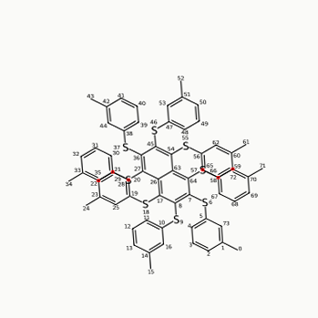 Cc1cccc(Sc2c(Sc3cccc(C)c3)c(Sc3cccc(C)c3)c3c(Sc4cccc(C)c4)c(Sc4cccc(C)c4)c(Sc4cccc(C)c4)c(Sc4cccc(C)c4)c3c2Sc2cccc(C)c2)c1